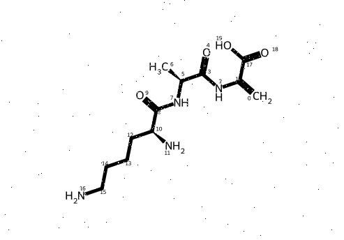 C=C(NC(=O)[C@H](C)NC(=O)[C@@H](N)CCCCN)C(=O)O